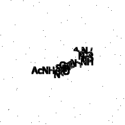 CC(=O)Nc1nc(C)c(S(=O)(=O)N2CCN(CC(C)Nc3nc(C4CC4)nc4c(C)csc34)CC2)s1